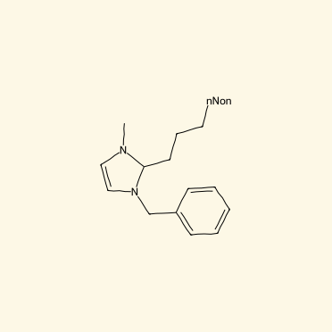 CCCCCCCCCCCCC1N(C)C=CN1Cc1ccccc1